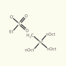 CCCCCCCC[N+](C)(CCCCCCCC)CCCCCCCC.CCS(=O)(=O)[O-]